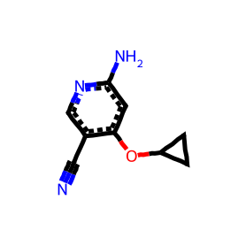 N#Cc1cnc(N)cc1OC1CC1